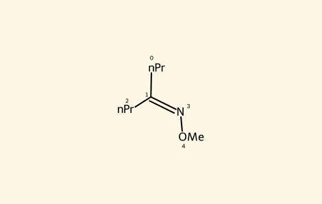 CCCC(CCC)=NOC